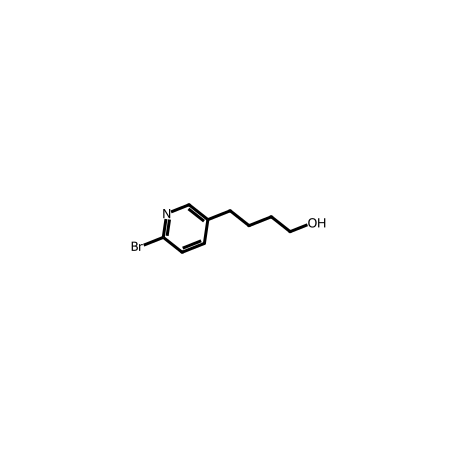 OCCCCc1ccc(Br)nc1